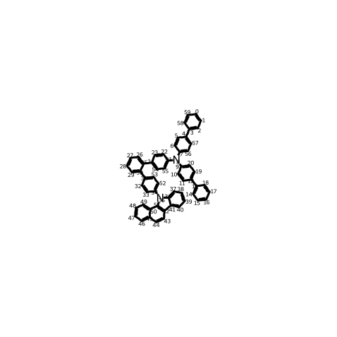 c1ccc(-c2ccc(N(c3ccc(-c4ccccc4)cc3)c3ccc(-c4ccccc4-c4ccc(-n5c6ccccc6c6ccc7ccccc7c65)cc4)cc3)cc2)cc1